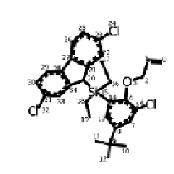 C=CCOc1c(Cl)cc(C(C)(C)C)cc1[Si](CC)(CC)C1c2cc(Cl)ccc2-c2ccc(Cl)cc21